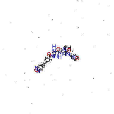 Cn1cc(NC(=O)c2cc(NC(=O)c3ccc(/C=C/c4ccc5nonc5c4)cc3)c[nH]2)cc1C(=O)NCCN1CCOCC1